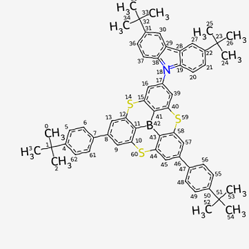 CC(C)(C)c1ccc(-c2cc3c4c(c2)Sc2cc(-n5c6ccc(C(C)(C)C)cc6c6cc(C(C)(C)C)ccc65)cc5c2B4c2c(cc(-c4ccc(C(C)(C)C)cc4)cc2S5)S3)cc1